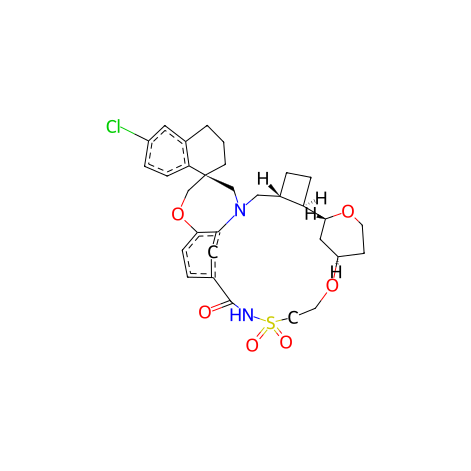 O=C1NS(=O)(=O)CCO[C@@H]2CCO[C@H](C2)[C@@H]2CC[C@H]2CN2C[C@@]3(CCCc4cc(Cl)ccc43)COc3ccc1cc32